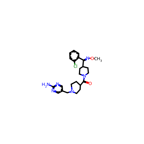 CON=C(c1ccccc1Cl)C1CCN(C(=O)C2CCN(Cc3cnc(N)nc3)CC2)CC1